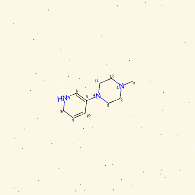 CN1CCN(C2=[C]NCC=C2)CC1